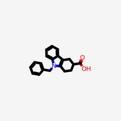 O=C(O)C1CCc2c(c3ccccc3n2Cc2ccccc2)C1